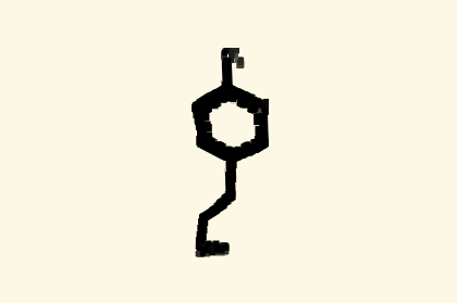 CSCCc1ccc(C(F)(F)F)nc1